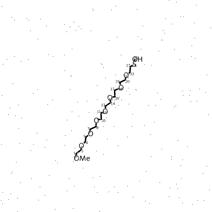 COCCOCCOCCOCCOCCOCCOCCOCCSO